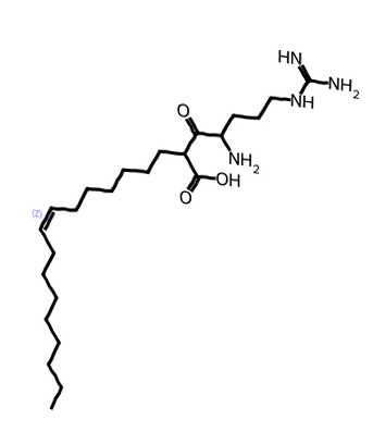 CCCCCCCC/C=C\CCCCCCC(C(=O)O)C(=O)C(N)CCCNC(=N)N